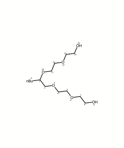 CCCCC(COCCOCCO)OCCOCCO